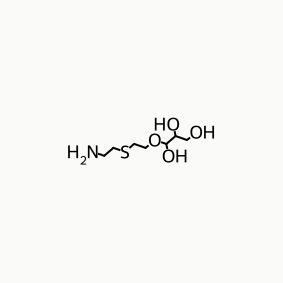 NCCSCCOC(O)C(O)CO